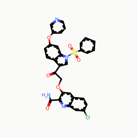 NC(=O)c1nc2cc(Cl)ccc2cc1OCC(=O)c1cn(S(=O)(=O)c2ccccc2)c2cc(Oc3cccnc3)ccc12